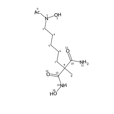 CC(=O)N(O)CCCCCC(C)(C(N)=O)C(=O)NO